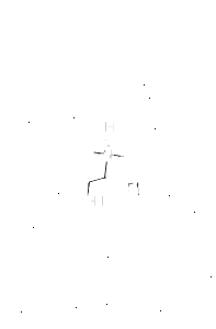 C[N+](C)(C)CCO.P.[Cl-]